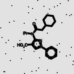 CC(C)N(C(=O)CC1CCCCC1)c1nn(-c2ccccc2)cc1C(=O)O